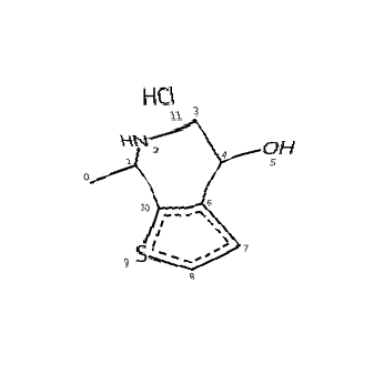 CC1NCC(O)c2ccsc21.Cl